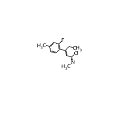 CC/C(=C\C(Cl)=N/C)c1ccc(C)cc1F